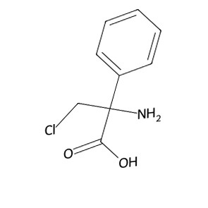 NC(CCl)(C(=O)O)c1ccccc1